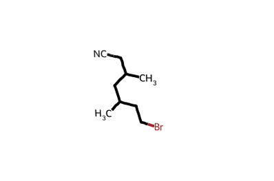 CC(CC#N)CC(C)CCBr